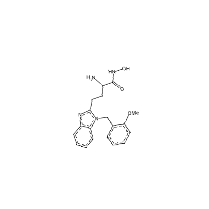 COc1ccccc1Cn1c(CCC(N)C(=O)NO)nc2ccccc21